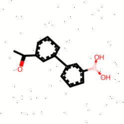 CC(=O)c1cccc(-c2cccc(B(O)O)c2)c1